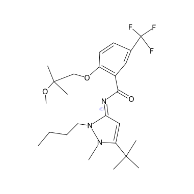 CCCCn1/c(=N/C(=O)c2cc(C(F)(F)F)ccc2OCC(C)(C)OC)cc(C(C)(C)C)n1C